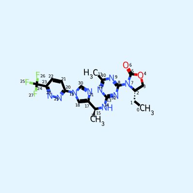 CC[C@H]1COC(=O)N1c1nc(C)nc(N[C@@H](C)c2cn(-c3ccc(C(F)(F)F)nn3)cn2)n1